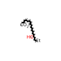 CC/C=C\C[C@H](O)/C=C/C=C/C=C/CC/C=C\C/C=C\CCC(=O)O